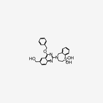 OCc1ccc2nc(N3CCS(O)(O)c4ccccc4C3)nc(OCc3ccccc3)c2c1